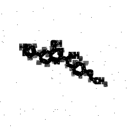 CCOc1ccc(CC(N)c2nc(O)c3cc(-c4cn[nH]c4)ccc3n2)cc1